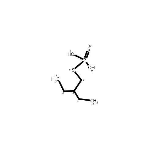 CCC(CC)CSP(O)(O)=S